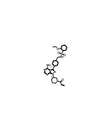 C=CC(=O)N1CCC[C@@H](n2nc(-c3ccc(CNS(=O)(=O)c4ccccc4OCC)cc3)c3c(N)ncnc32)C1